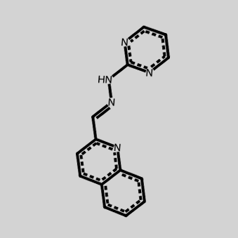 C(=NNc1ncccn1)c1ccc2ccccc2n1